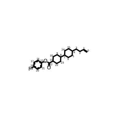 C=CCCC1CCC(C2CCC(C(=O)Oc3ccc(F)cc3)CC2)CC1